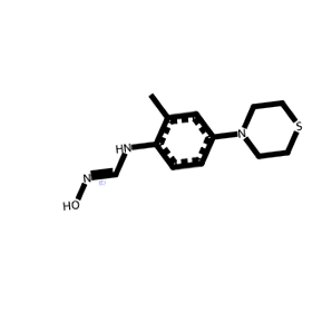 Cc1cc(N2CCSCC2)ccc1N/C=N/O